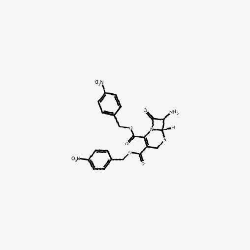 NC1C(=O)N2C(C(=O)OCc3ccc([N+](=O)[O-])cc3)=C(C(=O)OCc3ccc([N+](=O)[O-])cc3)CS[C@@H]12